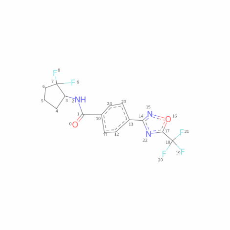 O=C(NC1CCCC1(F)F)c1ccc(-c2noc(C(F)(F)F)n2)cc1